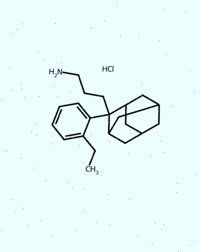 CCc1ccccc1C1(CCCN)C2CC3CC(C2)CC1C3.Cl